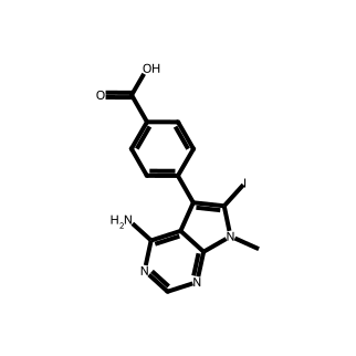 Cn1c(I)c(-c2ccc(C(=O)O)cc2)c2c(N)ncnc21